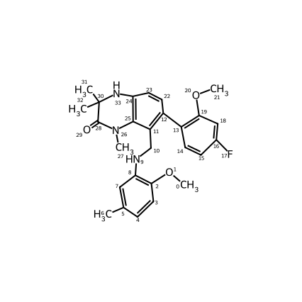 COc1ccc(C)cc1NCc1c(-c2ccc(F)cc2OC)ccc2c1N(C)C(=O)C(C)(C)N2